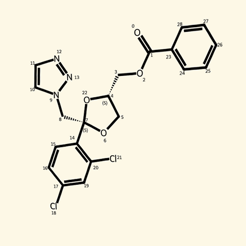 O=C(OC[C@@H]1CO[C@@](Cn2ccnn2)(c2ccc(Cl)cc2Cl)O1)c1ccccc1